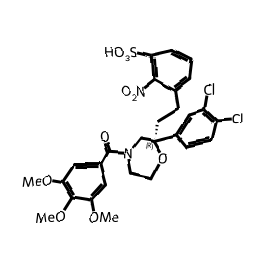 COc1cc(C(=O)N2CCO[C@](CCc3cccc(S(=O)(=O)O)c3[N+](=O)[O-])(c3ccc(Cl)c(Cl)c3)C2)cc(OC)c1OC